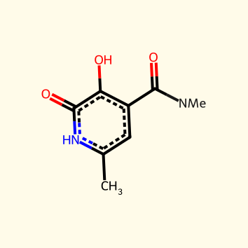 CNC(=O)c1cc(C)[nH]c(=O)c1O